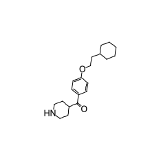 O=C(c1ccc(OCCC2CCCCC2)cc1)C1CCNCC1